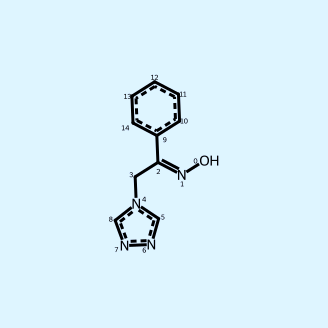 O/N=C(/Cn1cnnc1)c1ccccc1